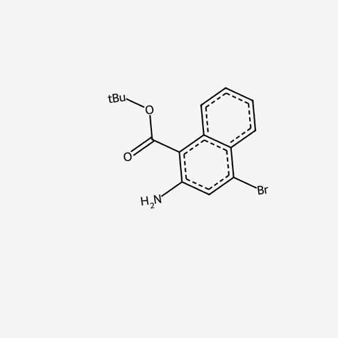 CC(C)(C)OC(=O)c1c(N)cc(Br)c2ccccc12